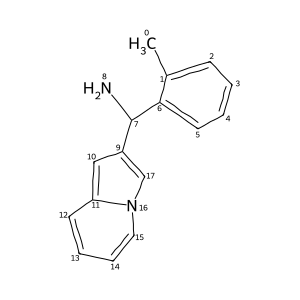 Cc1ccccc1C(N)c1cc2ccccn2c1